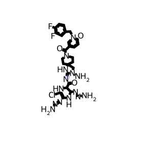 NN=NC1=C(Cl)NC(C(=O)/N=C2/NC3(CCN(C(=O)c4ccc(=O)n(Cc5ccc(F)c(F)c5)c4)CC3)CN2N)C(N=NN)N1